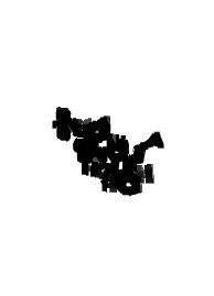 CS(=O)(=O)NCc1csc2c1S(=O)(=O)N=C(C1=C(O)[C@H]3C([C@@H]4CC[C@H]3C4)N(CCC3CC3)C1=O)N2